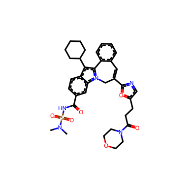 CN(C)S(=O)(=O)NC(=O)c1ccc2c(C3CCCCC3)c3n(c2c1)CC(c1ncc(CCC(=O)N2CCOCC2)o1)=Cc1ccccc1-3